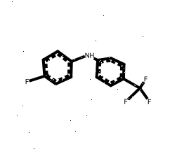 Fc1ccc(Nc2ccc(C(F)(F)F)cc2)cc1